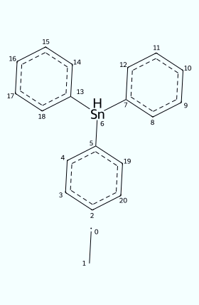 [CH2]C.c1cc[c]([SnH]([c]2ccccc2)[c]2ccccc2)cc1